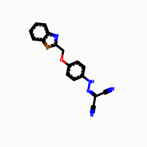 N#CC(C#N)=NNc1ccc(OCc2nc3ccccc3s2)cc1